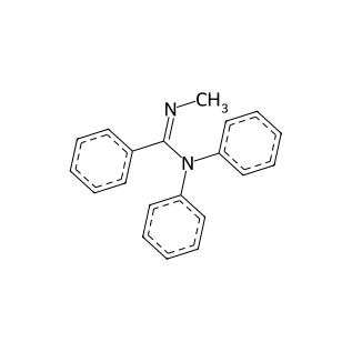 CN=C(c1ccccc1)N(c1ccccc1)c1ccccc1